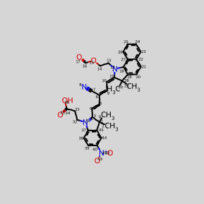 CC1(C)C(/C=C/C(C#N)=C/C=C2/N(CCOC=O)c3c(ccc4ccccc34)C2(C)C)=[N+](CCC(=O)O)c2ccc([N+](=O)[O-])cc21